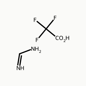 N=CN.O=C(O)C(F)(F)F